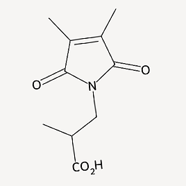 CC1=C(C)C(=O)N(CC(C)C(=O)O)C1=O